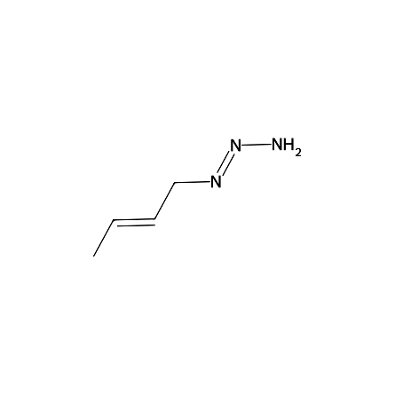 C/C=C/CN=NN